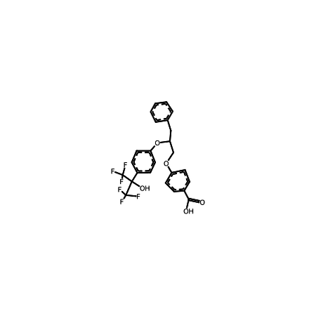 O=C(O)c1ccc(OCC(Cc2ccccc2)Oc2ccc(C(O)(C(F)(F)F)C(F)(F)F)cc2)cc1